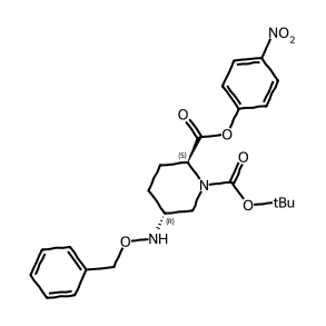 CC(C)(C)OC(=O)N1C[C@H](NOCc2ccccc2)CC[C@H]1C(=O)Oc1ccc([N+](=O)[O-])cc1